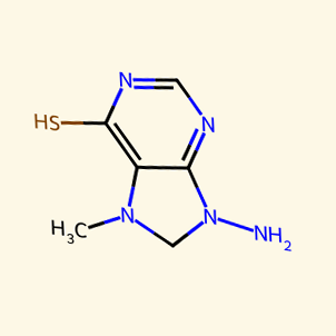 CN1CN(N)c2ncnc(S)c21